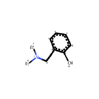 CCN(CC)Cc1ccccc1C#N